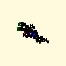 CCn1c(Cc2ccc(C)cc2)nnc1[C@@H](C)NS(=O)(=O)c1ccc(Cl)c(Cl)c1